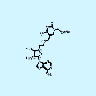 COCn1cc(CNCC[C@H]2O[C@@H](n3cnc4c(N)ncnc43)[C@@H](O)C2O)c(N)nc1=O